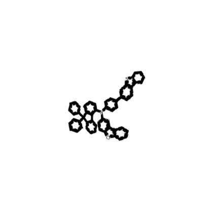 c1ccc(C2(c3ccccc3)c3ccccc3-c3c(N(c4ccc(-c5ccc6c(c5)sc5ccccc56)cc4)c4ccc5oc6ccccc6c5c4)cccc32)cc1